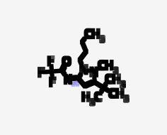 CCCCn1/c(=N\C(=O)C(F)(F)F)cc(C(C)(C)C)n1C